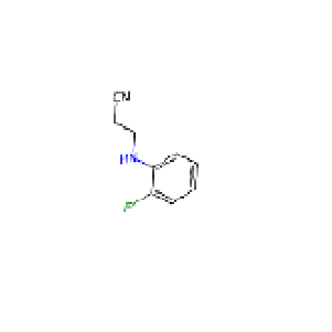 N#CCCNc1ccccc1F